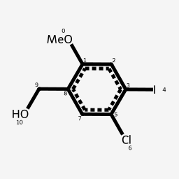 COc1cc(I)c(Cl)cc1CO